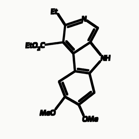 CCOC(=O)c1c(CC)ncc2[nH]c3cc(OC)c(OC)cc3c12